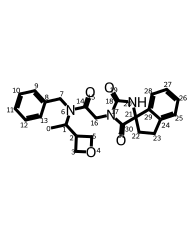 CC(C1COC1)N(Cc1ccccc1)C(=O)CN1C(=O)NC2(CCc3ccccc32)C1=O